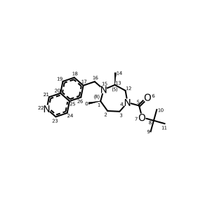 C[C@@H]1CCN(C(=O)OC(C)(C)C)C[C@H](C)N1Cc1ccc2cnccc2c1